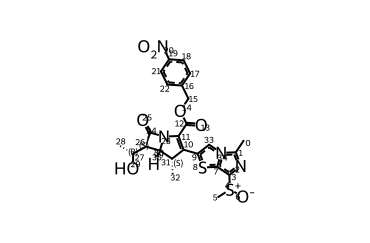 Cc1nc([S+](C)[O-])c2sc(C3=C(C(=O)OCc4ccc([N+](=O)[O-])cc4)N4C(=O)[C@H]([C@@H](C)O)[C@H]4[C@H]3C)cn12